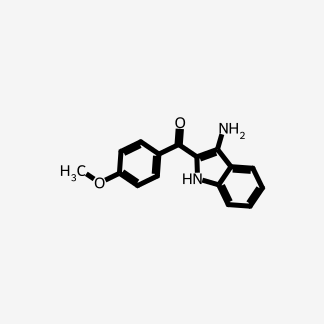 COc1ccc(C(=O)c2[nH]c3ccccc3c2N)cc1